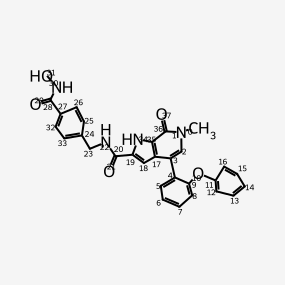 Cn1cc(-c2ccccc2Oc2ccccc2)c2cc(C(=O)NCc3ccc(C(=O)NO)cc3)[nH]c2c1=O